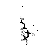 [CH2]C(C)(CC(=O)CCO)CC(Cl)(Cl)Cl